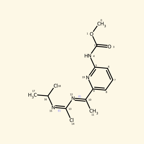 COC(=O)Nc1cccc(/C(C)=N/C(Cl)=N\C(C)Cl)n1